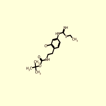 CCSC(=N)Nc1ccc(CCNC(=O)OC(C)(C)C)c(Cl)c1